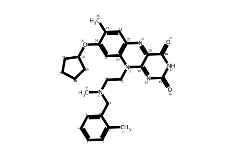 Cc1ccccc1CN(C)CCn1c2nc(=O)[nH]c(=O)c-2nc2cc(C)c(OC3CCCC3)cc21